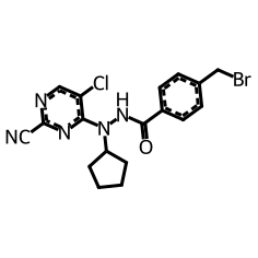 N#Cc1ncc(Cl)c(N(NC(=O)c2ccc(CBr)cc2)C2CCCC2)n1